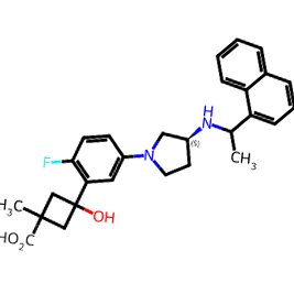 CC(N[C@H]1CCN(c2ccc(F)c(C3(O)CC(C)(C(=O)O)C3)c2)C1)c1cccc2ccccc12